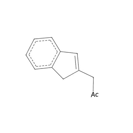 CC(=O)CC1=Cc2ccccc2C1